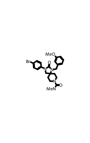 CNC(=O)N1CCC2(CC1)CN(c1ccc(Br)cc1)C(=O)N2Cc1cccc(OC)c1